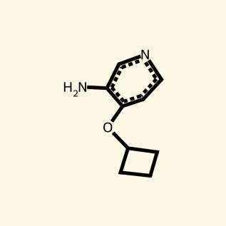 Nc1cnccc1OC1CCC1